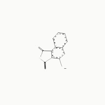 O=C1NC(=O)c2c1c(SCl)cc1ccccc21